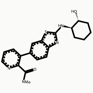 CNC(=O)c1ncccc1-c1ccc2nc(N[C@@H]3CCCC[C@H]3O)sc2c1